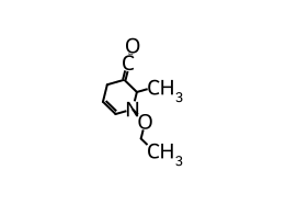 CCON1C=CCC(=C=O)C1C